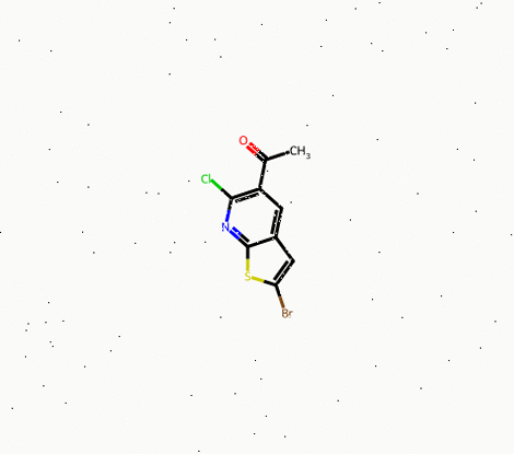 CC(=O)c1cc2cc(Br)sc2nc1Cl